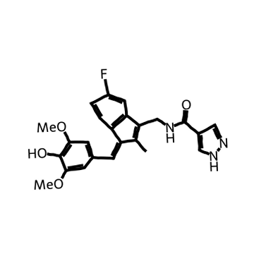 COc1cc(/C=C2/C(C)=C(CNC(=O)c3cn[nH]c3)c3cc(F)ccc32)cc(OC)c1O